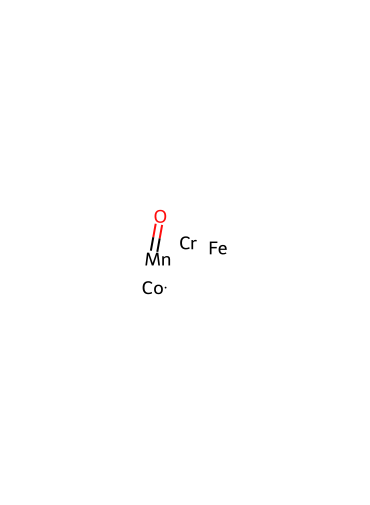 [Co].[Cr].[Fe].[O]=[Mn]